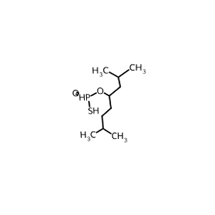 CC(C)CCC(CC(C)C)O[PH](=O)S